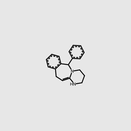 C1=C2NCCCN2C(c2ccccc2)c2ccccc2C1